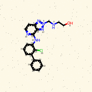 OCCNCn1nc2ccnc(Nc3cccc(-c4ccccc4)c3Cl)c2n1